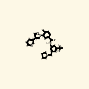 Cc1ccc(C(=O)Nc2cc(CN3CCCC3)cc(C(F)(F)F)c2)cc1-n1cc(-c2cccnc2)cn1